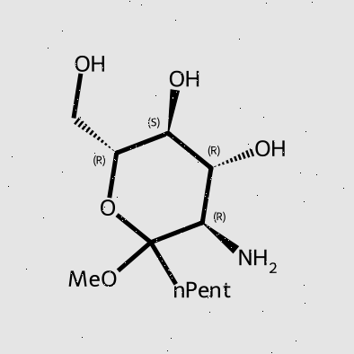 CCCCCC1(OC)O[C@H](CO)[C@@H](O)[C@H](O)[C@H]1N